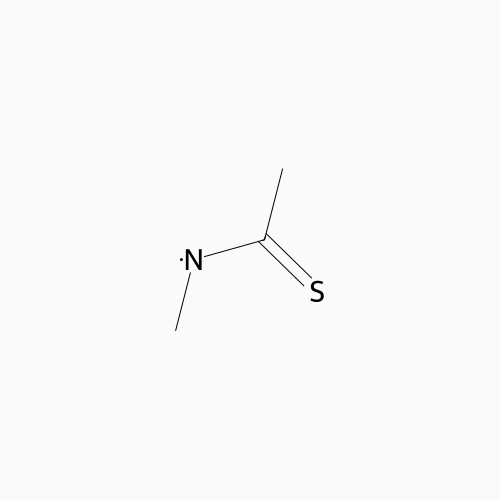 C[N]C(C)=S